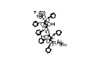 CC(C)(C)[Si](C)(C)OC[C@@H](OCc1ccccc1)[C@@H](OCc1ccccc1)[C@H](OCc1ccccc1)[C@H](O)COC[C@@H](OCc1ccccc1)[C@@H](O)[C@H](OCc1ccccc1)[C@@H](COS(=O)(=O)C(F)(F)F)OCc1ccccc1